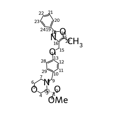 COC(=O)[C@@H]1COCCN1Cc1ccc(OCc2nc(-c3ccccc3)oc2C)cc1